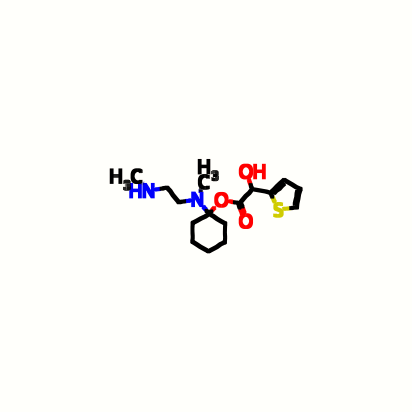 CNCCN(C)C1(OC(=O)C(O)c2cccs2)CCCCC1